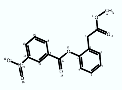 COC(=O)Cc1ccccc1OC(=O)c1cccc([N+](=O)[O-])c1